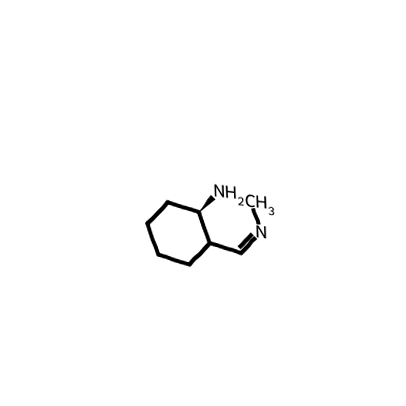 C/N=C\C1CCCC[C@H]1N